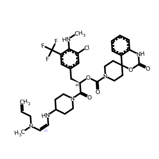 C=CCN(C)/C=C\NC1CCN(C(=O)[C@@H](Cc2cc(Cl)c(NC)c(C(F)(F)F)c2)OC(=O)N2CCC3(CC2)OC(=O)Nc2ccccc23)CC1